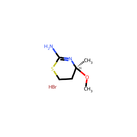 Br.CO[C@@]1(C)CCSC(N)=N1